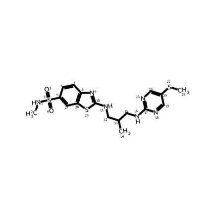 CNS(=O)(=O)c1ccc2nc(NCC(C)CNc3ncc(SC)cn3)sc2c1